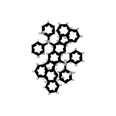 c1ccc(N(c2ccccn2)c2c3cc4c5cccc6c7ccccc7cc(c4c(N(c4ccccc4)c4ccccn4)c3cc3c4cccc7cccc(c23)c74)c65)cc1